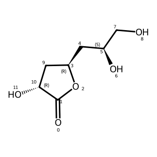 O=C1O[C@H](C[C@H](O)CO)C[C@H]1O